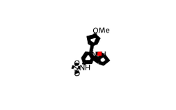 COc1ccc(CN2CC3CCC(C2)C3(O)c2cccc(NS(C)(=O)=O)c2)cc1